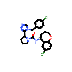 O=C(N[C@H]1CCCOc2ccc(Cl)cc21)N1CCCC1c1nncn1Cc1ccc(Cl)cc1